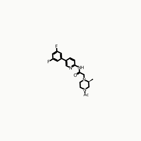 CC(=O)N1CCN(CC(=O)Nc2ccc(-c3cc(F)cc(F)c3)cn2)[C@@H](C)C1